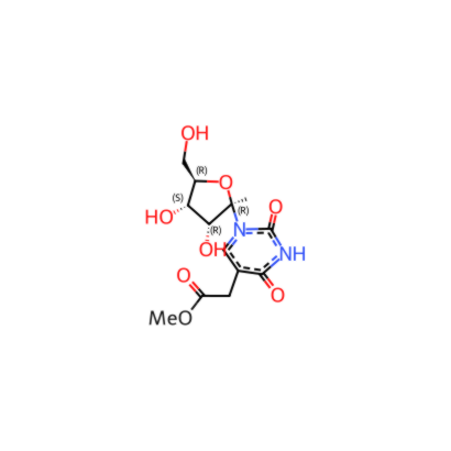 COC(=O)Cc1cn([C@]2(C)O[C@H](CO)[C@@H](O)[C@H]2O)c(=O)[nH]c1=O